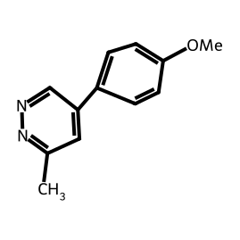 COc1ccc(-c2cnnc(C)c2)cc1